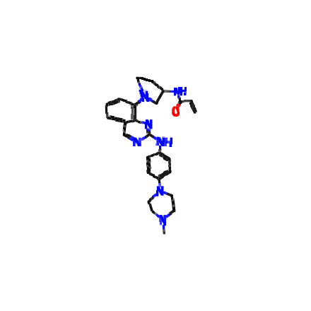 C=CC(=O)NC1CCN(c2cccc3cnc(Nc4ccc(N5CCN(C)CC5)cc4)nc23)C1